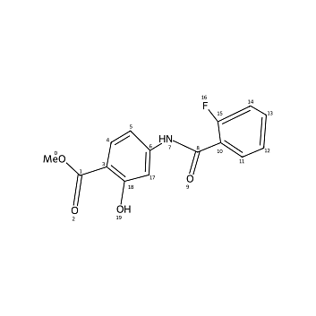 COC(=O)c1ccc(NC(=O)c2ccccc2F)cc1O